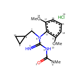 CNC(=O)NC(=N)N(CC1CC1)c1c(OC)cccc1OC.Cl